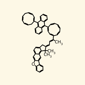 C/C(=C\C=C1/Cc2ccc3cc4oc5ccccc5c4cc3c2C1(C)C)c1ccccccc(-c2c3ccccc3c(/C3=C/C=C\C/C=C\C=C/C3)c3ccccc23)cc1